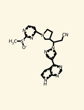 C[S+]([O-])c1nccc(N2CCC(C(CC#N)n3cc(-c4ncnc5[nH]ccc45)cn3)C2)n1